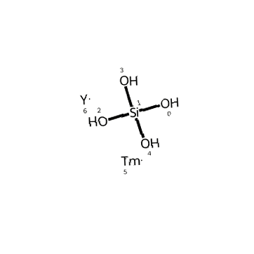 O[Si](O)(O)O.[Tm].[Y]